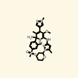 COC1=C(Nc2cc(C)n(C3CCCCO3)n2)NC(N)(c2ccc(S(C)(=O)=O)cc2F)C(C)=C1c1cnn(C)c1